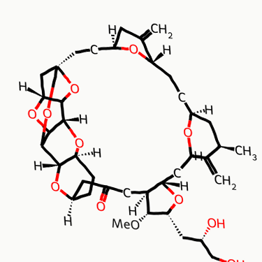 C=C1C[C@@H]2CC[C@@]34C[C@H]5OC6C(O3)[C@H]3O[C@H](CC[C@@H]3O[C@H]6C5O4)CC(=O)C[C@@H]3[C@@H](OC)[C@@H](C[C@H](O)CO)O[C@H]3C[C@H]3O[C@@H](CC[C@@H]1O2)C[C@@H](C)C3=C